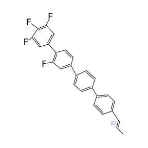 C/C=C/c1ccc(-c2ccc(-c3ccc(-c4cc(F)c(F)c(F)c4)c(F)c3)cc2)cc1